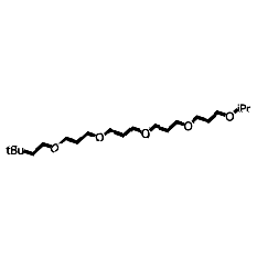 CC(C)OCCCOCCCOCCCOCCCOCCC(C)(C)C